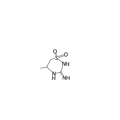 CC1CS(=O)(=O)NC(=N)N1